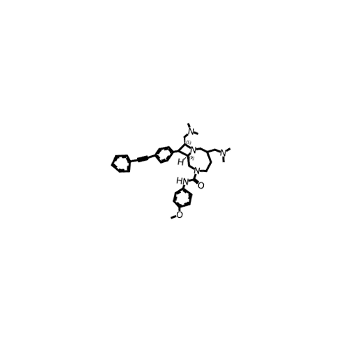 COc1ccc(NC(=O)N2CCC(CN(C)C)CN3[C@H](CN(C)C)C(c4ccc(C#Cc5ccccc5)cc4)[C@@H]3C2)cc1